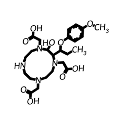 CCC(Oc1ccc(OC)cc1)C1C(O)N(CC(=O)O)CCNCCN(CC(=O)O)CCN1CC(=O)O